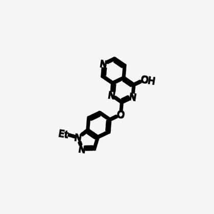 CCn1ncc2cc(Oc3nc(O)c4ccncc4n3)ccc21